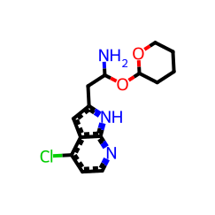 NC(Cc1cc2c(Cl)ccnc2[nH]1)OC1CCCCO1